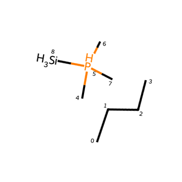 CCCC.C[PH](C)(C)[SiH3]